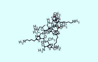 Cc1nc([C@H](C)NC(=O)c2sc(CCCCN)nc2[C@H](C)NC(=O)c2sc(C)nc2[C@H](CCCCN)NC(=O)c2sc(C)nc2[C@H](C)NC(=O)c2sc(CCCCN)nc2[C@H](C)NC(=O)c2sc(C)nc2[C@@H](N)CCCCN)c(C(N)=O)s1